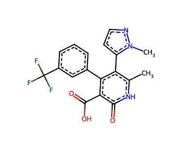 Cc1[nH]c(=O)c(C(=O)O)c(-c2cccc(C(F)(F)F)c2)c1-c1ccnn1C